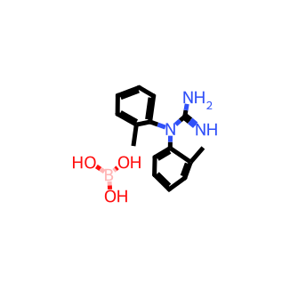 Cc1ccccc1N(C(=N)N)c1ccccc1C.OB(O)O